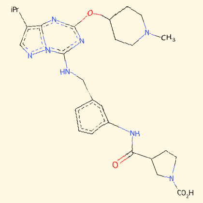 CC(C)c1cnn2c(NCc3cccc(NC(=O)C4CCN(C(=O)O)C4)c3)nc(OC3CCN(C)CC3)nc12